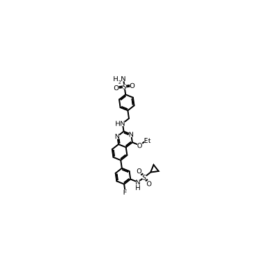 CCOc1nc(NCc2ccc(S(N)(=O)=O)cc2)nc2ccc(-c3ccc(F)c(NS(=O)(=O)C4CC4)c3)cc12